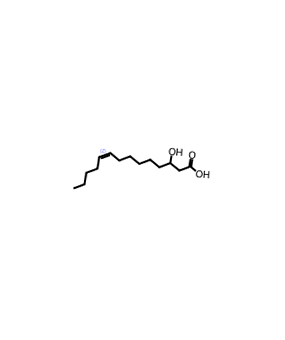 CCCC/C=C\CCCCCC(O)CC(=O)O